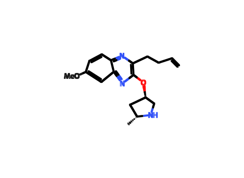 C=CCCc1nc2ccc(OC)cc2nc1O[C@H]1CN[C@H](C)C1